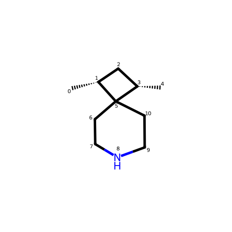 C[C@@H]1C[C@H](C)C12CCNCC2